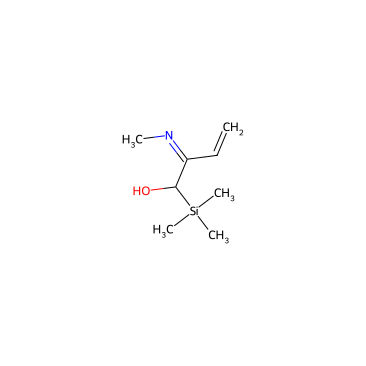 C=CC(=NC)C(O)[Si](C)(C)C